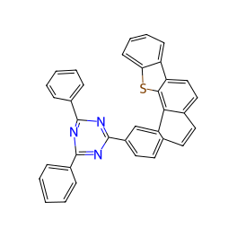 c1ccc(-c2nc(-c3ccccc3)nc(-c3ccc4ccc5ccc6c7ccccc7sc6c5c4c3)n2)cc1